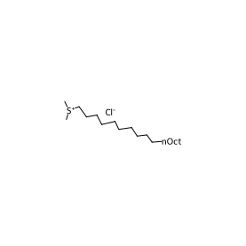 CCCCCCCCCCCCCCCCCC[S+](C)C.[Cl-]